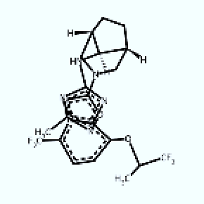 Cc1noc(N2C[C@H]3CC[C@@H](C2)[C@@H]3Nc2nc3c(OC(C)C(F)(F)F)ccc(C(F)(F)F)n3n2)n1